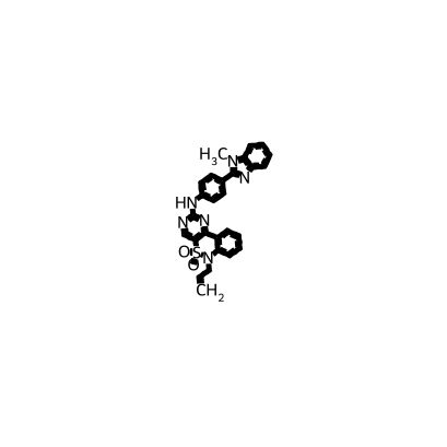 C=CCN1c2ccccc2-c2nc(Nc3ccc(-c4nc5ccccc5n4C)cc3)ncc2S1(=O)=O